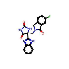 O=C1NC(=O)[C@](CN2Cc3ccc(F)cc3C2=O)(c2nc3ccccc3[nH]2)N1